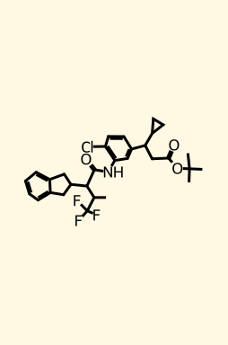 CC(C(C(=O)Nc1cc(C(CC(=O)OC(C)(C)C)C2CC2)ccc1Cl)C1Cc2ccccc2C1)C(F)(F)F